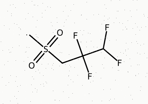 [CH2]S(=O)(=O)CC(F)(F)C(F)F